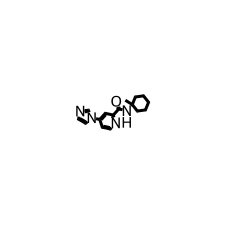 CC1(NC(=O)c2cc(-n3ccnc3)ccn2)CCCCC1